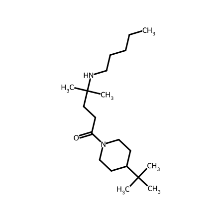 CCCCCNC(C)(C)CCC(=O)N1CCC(C(C)(C)C)CC1